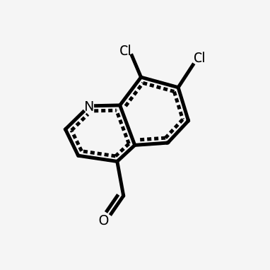 O=Cc1ccnc2c(Cl)c(Cl)ccc12